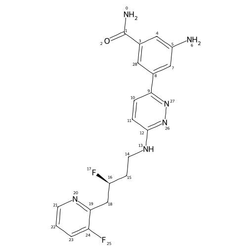 NC(=O)c1cc(N)cc(-c2ccc(NCC[C@H](F)Cc3ncccc3F)nn2)c1